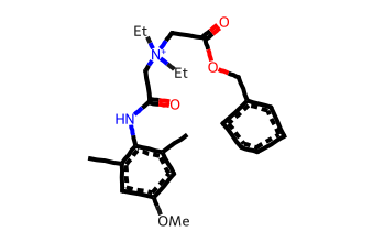 CC[N+](CC)(CC(=O)Nc1c(C)cc(OC)cc1C)CC(=O)OCc1ccccc1